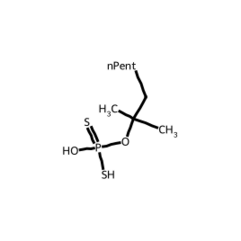 CCCCCCC(C)(C)OP(O)(=S)S